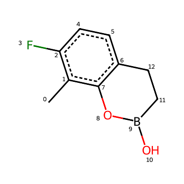 Cc1c(F)ccc2c1OB(O)CC2